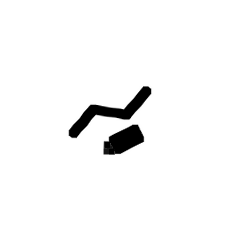 C#N.CCCC